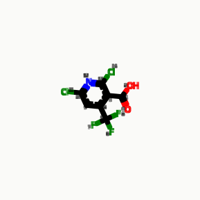 O=C(O)c1c(C(F)(F)F)cc(Cl)nc1Cl